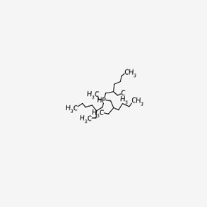 CCCCC(CC)C[PH](CC)(CC(CC)CCCC)CC(CC)CCCC